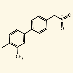 Cc1ccc(-c2ccc(C[SH](=O)=O)cc2)cc1C(F)(F)F